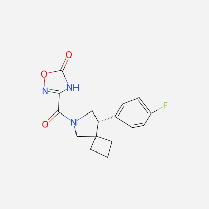 O=C(c1noc(=O)[nH]1)N1C[C@H](c2ccc(F)cc2)C2(CCC2)C1